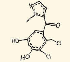 Cn1nccc1C(=O)c1cc(O)c(O)c(Cl)c1Cl